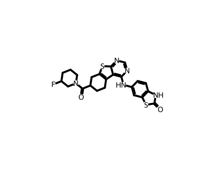 O=C(C1CCc2c(sc3ncnc(Nc4ccc5[nH]c(=O)sc5c4)c23)C1)N1CCCC(F)C1